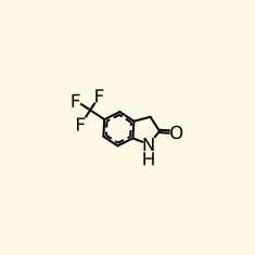 O=C1Cc2cc(C(F)(F)F)ccc2N1